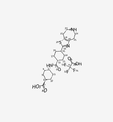 O=C(N[C@H]1CC[C@H](C(=O)O)CC1)C1CCC(c2nc3c(s2)CCNCC3)CC1.O=C(O)C(F)(F)F